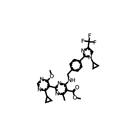 COC(=O)c1c(C)nc(-c2c(OC)ncnc2C2CC2)nc1NCc1ccc(-c2nc(C(F)(F)F)cn2C2CC2)cc1